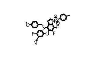 COc1ccc(CSc2c(Oc3ccc(F)c(C#N)c3)c(F)c(F)c3c2ccn3S(=O)(=O)c2ccc(C)cc2)cc1